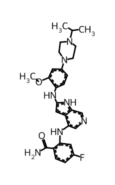 COc1cc(N2CCN(C(C)C)CC2)ccc1Nc1cc2c(Nc3cc(F)ccc3C(N)=O)cncc2[nH]1